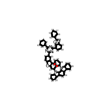 c1ccc(-c2nc(-c3ccc4oc5cc(-n6c7ccccc7c7ccc8c9ccccc9n(-c9ccccc9)c8c76)ccc5c4c3)nc(-c3cccc4nc(-c5ccccc5)oc34)n2)cc1